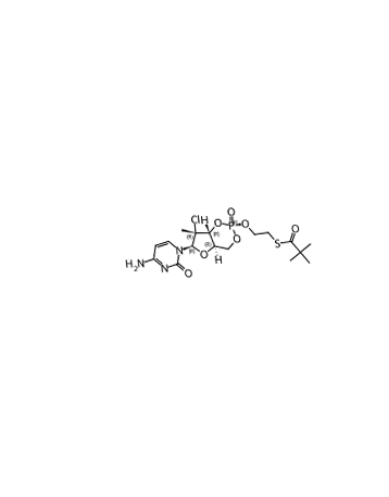 CC(C)(C)C(=O)SCCO[P@@]1(=O)OC[C@H]2O[C@@H](n3ccc(N)nc3=O)[C@](C)(Cl)[C@@H]2O1